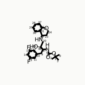 CC(C)(C)OC(=O)NC(Cc1cc(F)cc(F)c1)[C@H](O)CNC1CCOc2ccccc21